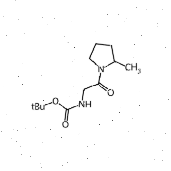 CC1CCCN1C(=O)CNC(=O)OC(C)(C)C